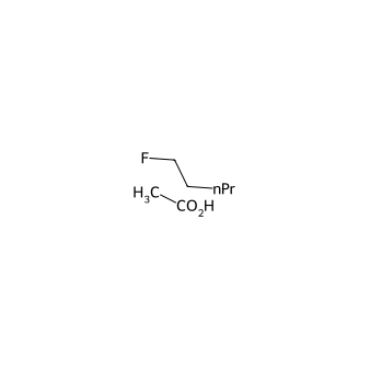 CC(=O)O.CCCCCF